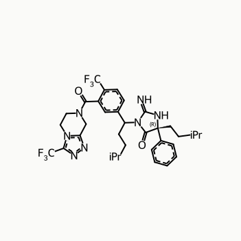 CC(C)CCC(c1ccc(C(F)(F)F)c(C(=O)N2CCn3c(nnc3C(F)(F)F)C2)c1)N1C(=N)N[C@](CCC(C)C)(c2ccccc2)C1=O